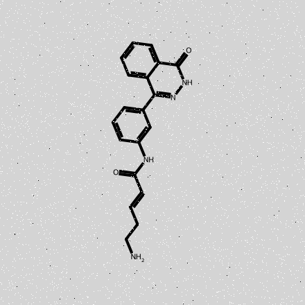 NCCC=CC(=O)Nc1cccc(-c2n[nH]c(=O)c3ccccc23)c1